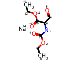 CCOC(=O)[N-]C(C=O)C(=O)OCC.[Na+]